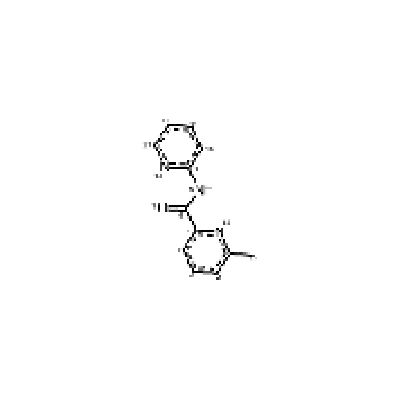 Cc1cccc(C(=O)Nc2ccccn2)n1